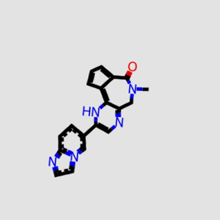 CN1CC2=NC=C(c3ccc4nccn4c3)NC2=C2C=CC=C2C1=O